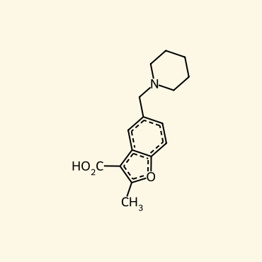 Cc1oc2ccc(CN3CCCCC3)cc2c1C(=O)O